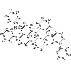 c1ccc(-c2cccc(-c3c4ccccc4c(-c4ccc(N(c5ccccc5)c5ccccc5)c5ccccc45)c4ccccc34)c2)cc1